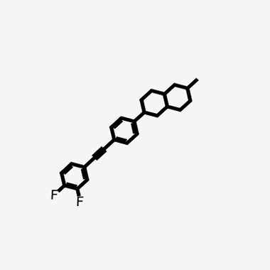 CC1CCC2CC(c3ccc(C#Cc4ccc(F)c(F)c4)cc3)CCC2C1